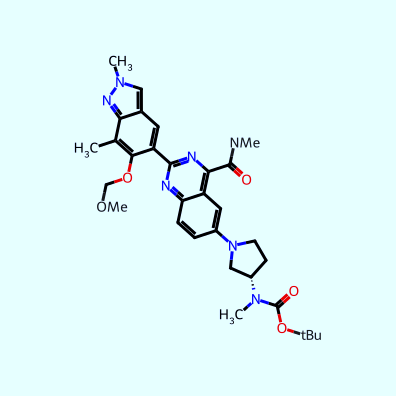 CNC(=O)c1nc(-c2cc3cn(C)nc3c(C)c2OCOC)nc2ccc(N3CC[C@H](N(C)C(=O)OC(C)(C)C)C3)cc12